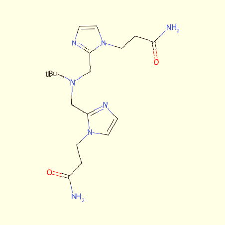 CC(C)(C)N(Cc1nccn1CCC(N)=O)Cc1nccn1CCC(N)=O